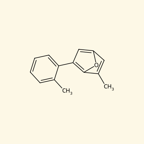 Cc1ccccc1-c1cc2cc(C)c1o2